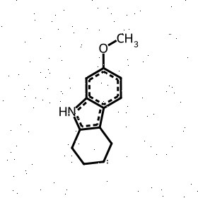 COc1ccc2c3c([nH]c2c1)CC[C]C3